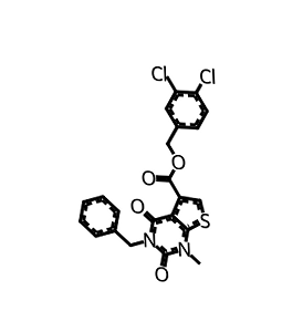 Cn1c(=O)n(Cc2ccccc2)c(=O)c2c(C(=O)OCc3ccc(Cl)c(Cl)c3)csc21